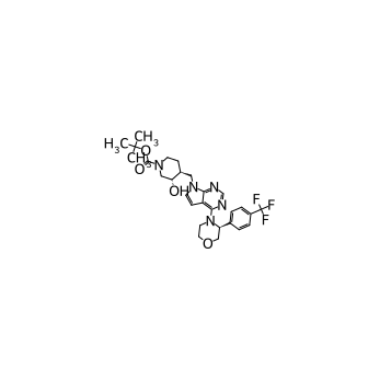 CC(C)(C)OC(=O)N1CC[C@@H](Cn2ccc3c(N4CCOC[C@@H]4c4ccc(C(F)(F)F)cc4)ncnc32)[C@H](O)C1